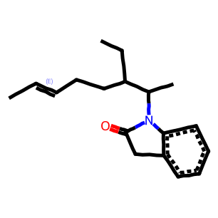 C/C=C/CCC(CC)C(C)N1C(=O)Cc2ccccc21